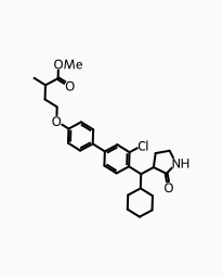 COC(=O)C(C)CCOc1ccc(-c2ccc(C(C3CCCCC3)C3CCNC3=O)c(Cl)c2)cc1